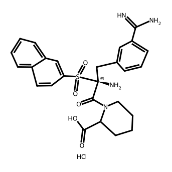 Cl.N=C(N)c1cccc(C[C@](N)(C(=O)N2CCCCC2C(=O)O)S(=O)(=O)c2ccc3ccccc3c2)c1